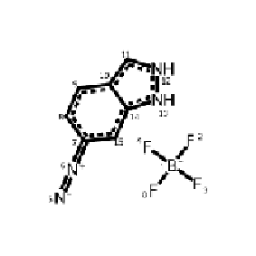 F[B-](F)(F)F.[N-]=[N+]=c1ccc2c[nH][nH]c-2c1